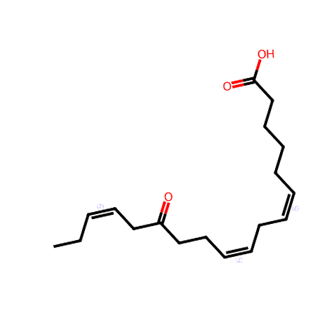 CC/C=C\CC(=O)CC/C=C\C/C=C\CCCCC(=O)O